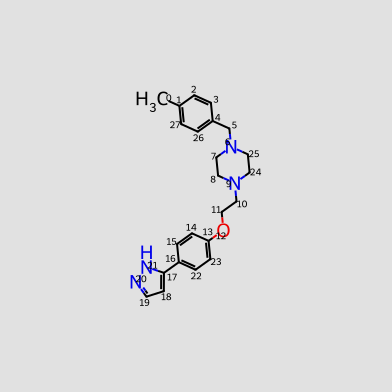 Cc1ccc(CN2CCN(CCOc3ccc(-c4ccn[nH]4)cc3)CC2)cc1